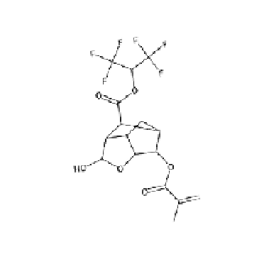 C=C(C)C(=O)OC1C2CC3C1OC(O)C3C2C(=O)OC(C(F)(F)F)C(F)(F)F